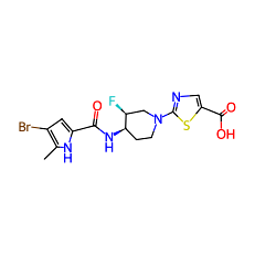 Cc1[nH]c(C(=O)N[C@@H]2CCN(c3ncc(C(=O)O)s3)C[C@@H]2F)cc1Br